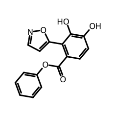 O=C(Oc1ccccc1)c1ccc(O)c(O)c1-c1ccno1